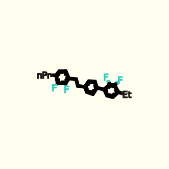 CCCc1ccc(CCc2ccc(-c3ccc(CC)c(F)c3F)cc2)c(F)c1F